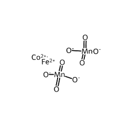 [Co+2].[Fe+2].[O]=[Mn](=[O])([O-])[O-].[O]=[Mn](=[O])([O-])[O-]